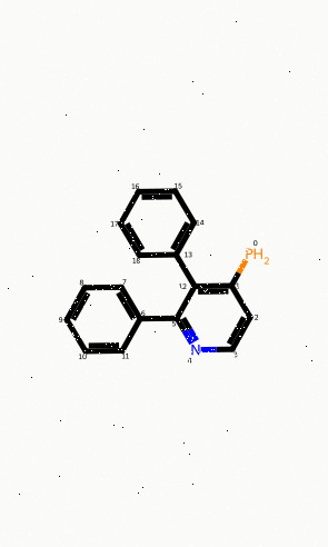 Pc1ccnc(-c2ccccc2)c1-c1ccccc1